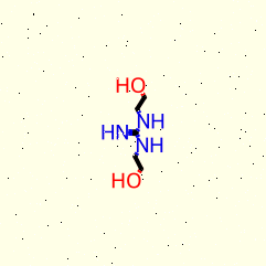 N=C(NCCO)NCCO